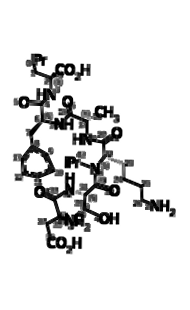 CC(C)C[C@H](NC(=O)[C@H](Cc1ccccc1)NC(=O)[C@H](C)NC(=O)[C@H](CCCCN)N(C(=O)[C@@H](NC(=O)[C@@H](N)CC(=O)O)[C@@H](C)O)C(C)C)C(=O)O